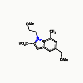 COCCn1c(C(=O)O)cc2cc(COC)cc(C)c21